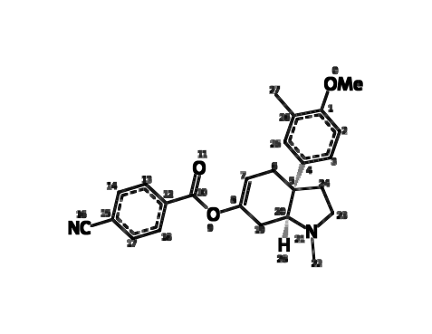 COc1ccc([C@@]23CC=C(OC(=O)c4ccc(C#N)cc4)C[C@@H]2N(C)CC3)cc1C